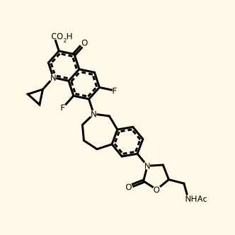 CC(=O)NCC1CN(c2ccc3c(c2)CCCN(c2c(F)cc4c(=O)c(C(=O)O)cn(C5CC5)c4c2F)C3)C(=O)O1